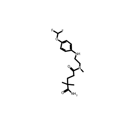 CN(CCNc1ccc(OC(F)F)cc1)C(=O)[CH]CC(C)(C)C(N)=O